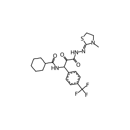 CN1CCSC1=NNC(=O)C(=O)C(NC(=O)C1CCCCC1)c1ccc(C(F)(F)F)cc1